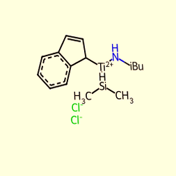 CCC(C)[NH][Ti+2]([CH]1C=Cc2ccccc21)[SiH](C)C.[Cl-].[Cl-]